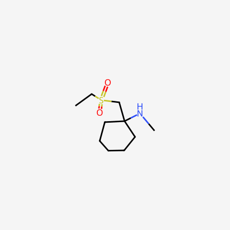 CCS(=O)(=O)CC1(NC)CCCCC1